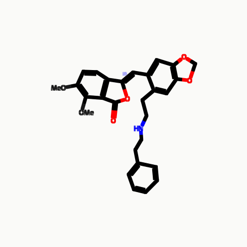 COc1ccc2c(c1OC)C(=O)O/C2=C\c1cc2c(cc1CCNCCc1ccccc1)OCO2